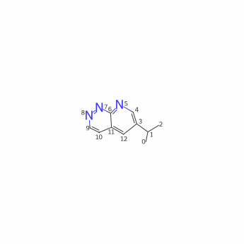 CC(C)c1cnc2nnccc2c1